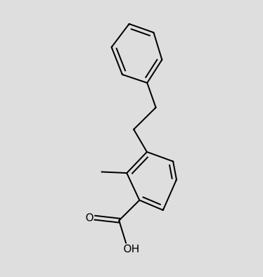 Cc1c(CCc2ccccc2)cccc1C(=O)O